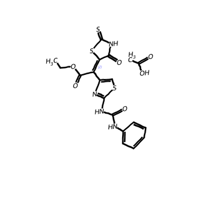 CC(=O)O.CCOC(=O)/C(=C1\SC(=S)NC1=O)c1csc(NC(=O)Nc2ccccc2)n1